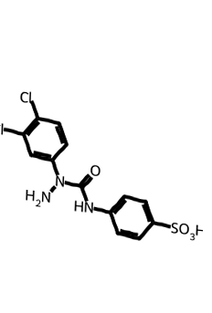 NN(C(=O)Nc1ccc(S(=O)(=O)O)cc1)c1ccc(Cl)c(Cl)c1